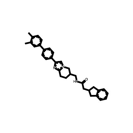 Cc1ccc(-c2ccc(-c3cn4c(n3)CCC(CNC(=O)CC3Cc5ccccc5C3)C4)cc2)cc1C